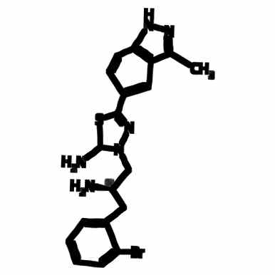 Cc1n[nH]c2ccc(C3=NN(C[C@H](N)Cc4ccccc4Br)C(N)S3)cc12